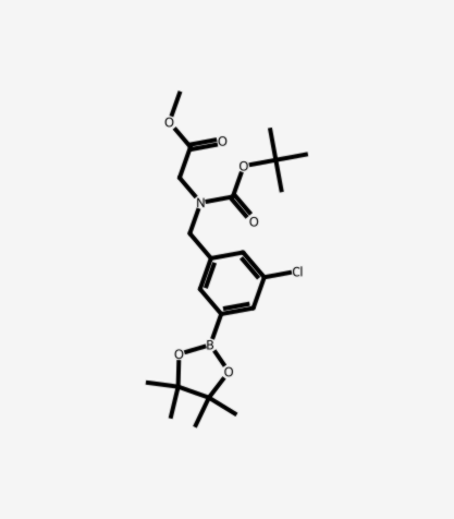 COC(=O)CN(Cc1cc(Cl)cc(B2OC(C)(C)C(C)(C)O2)c1)C(=O)OC(C)(C)C